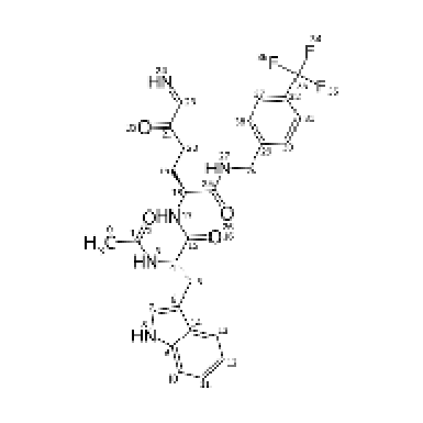 CC(=O)N[C@@H](Cc1c[nH]c2ccccc12)C(=O)N[C@@H](CCC(=O)C=N)C(=O)NCc1ccc(C(F)(F)F)cc1